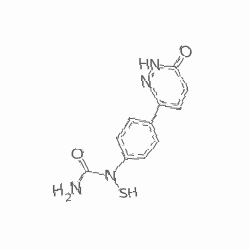 NC(=O)N(S)c1ccc(-c2ccc(=O)[nH]n2)cc1